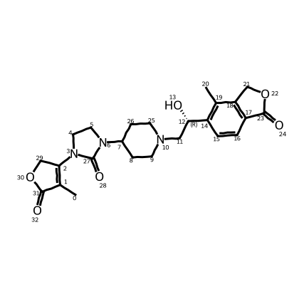 CC1=C(N2CCN(C3CCN(C[C@H](O)c4ccc5c(c4C)COC5=O)CC3)C2=O)COC1=O